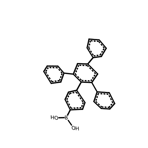 OB(O)c1ccc(-c2c(-c3ccccc3)cc(-c3ccccc3)cc2-c2ccccc2)cc1